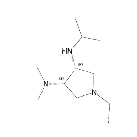 CCN1C[C@@H](NC(C)C)[C@@H](N(C)C)C1